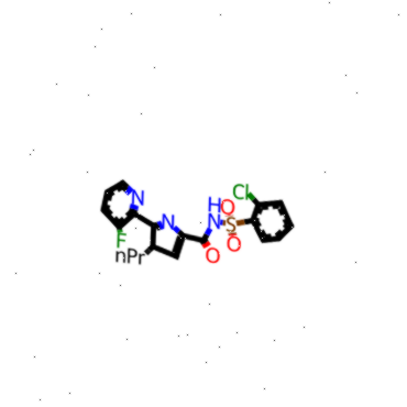 CCCC1C=C(C(=O)NS(=O)(=O)c2ccccc2Cl)N=C1c1ncccc1F